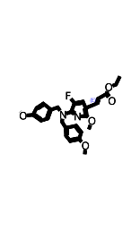 CCOC(=O)/C=C/c1cc(F)c(N(Cc2ccc(OC)cc2)Cc2ccc(OC)cc2)nc1OC